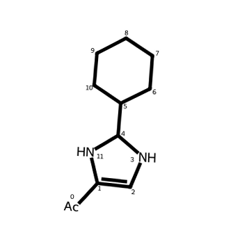 CC(=O)C1=CNC(C2CCCCC2)N1